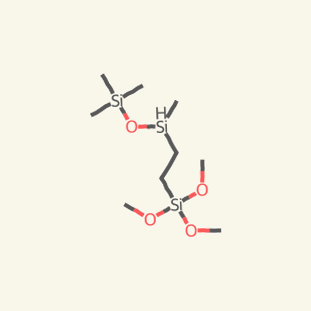 CO[Si](CC[SiH](C)O[Si](C)(C)C)(OC)OC